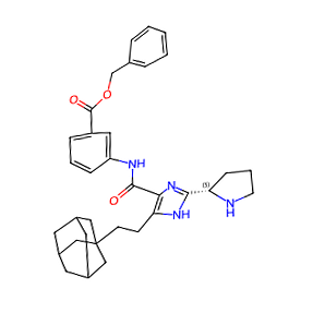 O=C(OCc1ccccc1)c1cccc(NC(=O)c2nc([C@@H]3CCCN3)[nH]c2CCC23CC4CC(CC(C4)C2)C3)c1